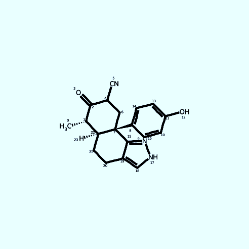 C[C@@H]1C(=O)C(C#N)C[C@]2(c3ccc(O)cc3)c3n[nH]cc3CC[C@@H]12